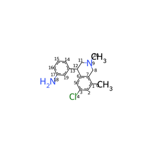 Cc1cc(Cl)cc2c1CN(C)CC2c1cccc(N)c1